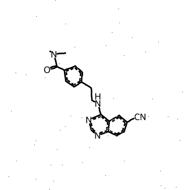 CN(C)C(=O)c1ccc(CCNc2ncnc3ccc(C#N)cc23)cc1